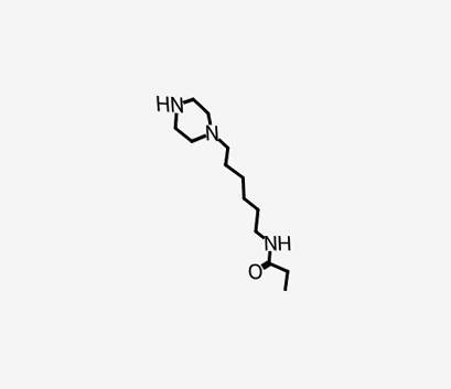 CCC(=O)NCCCCCCN1CCNCC1